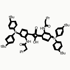 CC(C)CC(=O)NC1=CC(=[N+](c2ccc(C(C)(C)C)cc2)c2ccc(C(C)(C)C)cc2)C=C/C1=C1/C(=O)C(c2ccc(N(c3ccc(C(C)(C)C)cc3)c3ccc(C(C)(C)C)cc3)cc2NC(=O)CC(C)C)=C1O